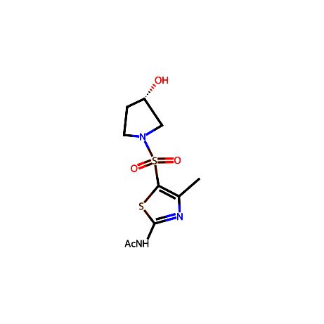 CC(=O)Nc1nc(C)c(S(=O)(=O)N2CC[C@H](O)C2)s1